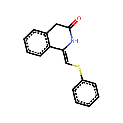 O=C1Cc2ccccc2C(=CSc2ccccc2)N1